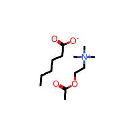 CC(=O)OCC[N+](C)(C)C.CCCCCC(=O)[O-]